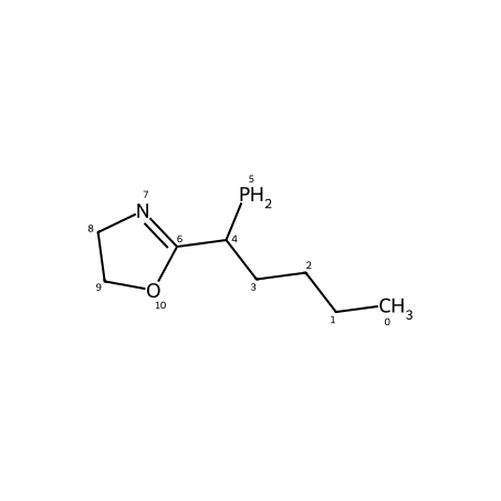 CCCCC(P)C1=NCCO1